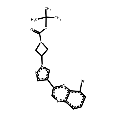 CC(C)(C)OC(=O)N1CC(n2cc(-c3cnc4cccc(Br)c4n3)cn2)C1